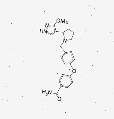 COc1n[nH]cc1C1CCCN1Cc1ccc(Oc2ccc(C(N)=O)cc2)cc1